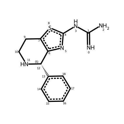 N=C(N)Nc1nc2c(s1)CCN[C@H]2c1ccccc1